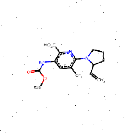 C=CC1CCCN1c1nc(C(=O)O)c(NC(=O)OC(C)(C)C)cc1C(F)(F)F